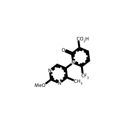 COc1ncc(-n2c(C(F)(F)F)ccc(C(=O)O)c2=O)c(C)n1